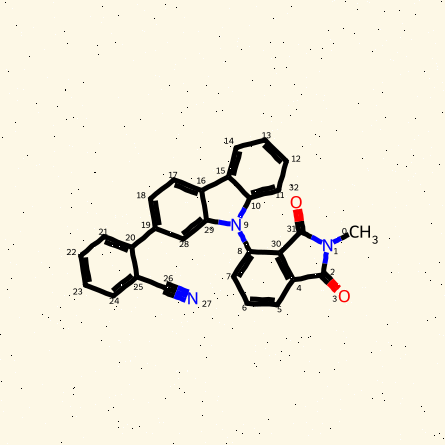 CN1C(=O)c2cccc(-n3c4ccccc4c4ccc(-c5ccccc5C#N)cc43)c2C1=O